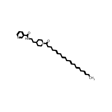 CCC=CCC=CCC=CCC=CCC=CCCCC(=O)N1CCC(CCNC(=O)c2cccnc2)CC1